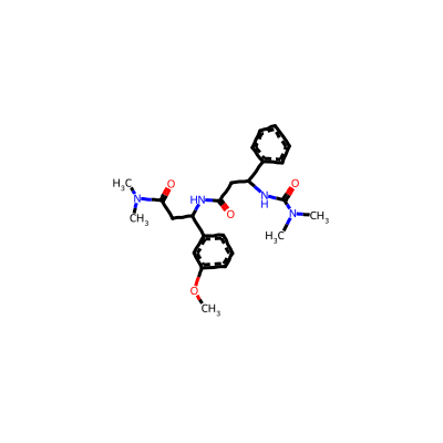 COc1cccc(C(CC(=O)N(C)C)NC(=O)CC(NC(=O)N(C)C)c2ccccc2)c1